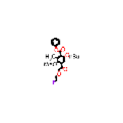 CCCCOc1cc(C(=O)COCCI)c(OC)c(C)c1C(=O)Oc1ccccc1